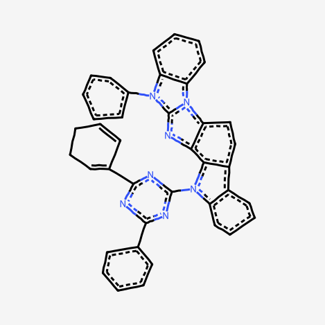 C1=CC(c2nc(-c3ccccc3)nc(-n3c4ccccc4c4ccc5c(nc6n(-c7ccccc7)c7ccccc7n56)c43)n2)=CCC1